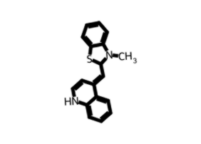 CN1c2ccccc2SC1C=C1C=CNc2ccccc21